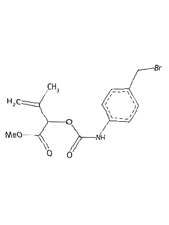 C=C(C)C(OC(=O)Nc1ccc(CBr)cc1)C(=O)OC